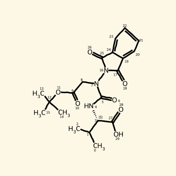 CC(C)[C@H](NC(=O)N(CC(=O)OC(C)(C)C)N1C(=O)c2ccccc2C1=O)C(=O)O